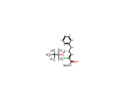 CCCC(C)(C)[Si](C)(C)OC[C@@H](/C=C(\F)C(=O)OC)Cc1ccccc1